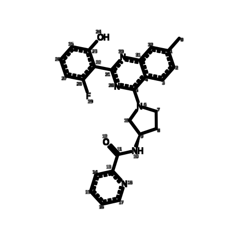 Cc1ccc2c(N3CC[C@@H](NC(=O)c4ccccn4)C3)nc(-c3c(O)cccc3F)nc2c1